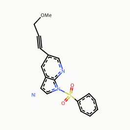 COCC#Cc1cnc2c(ccn2S(=O)(=O)c2ccccc2)c1.[N]